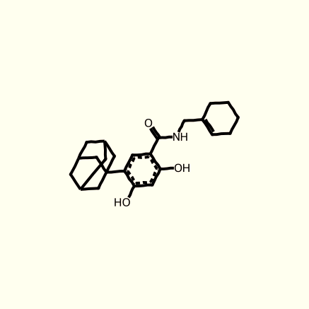 O=C(NCC1=CCCCC1)c1cc(C23CC4CC(CC(C4)C2)C3)c(O)cc1O